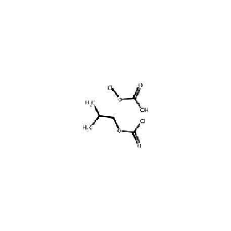 CC(C)COC(=O)Cl.O=C(O)OCl